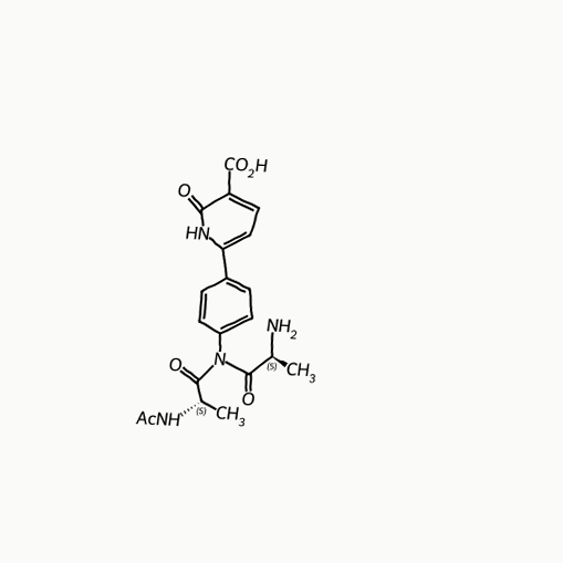 CC(=O)N[C@@H](C)C(=O)N(C(=O)[C@H](C)N)c1ccc(-c2ccc(C(=O)O)c(=O)[nH]2)cc1